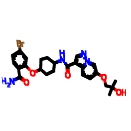 CC(C)(O)COc1ccc2c(C(=O)NC3CCC(Oc4cc(Br)ccc4C(N)=O)CC3)cnn2c1